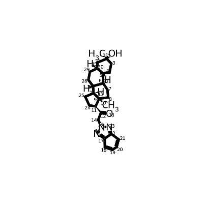 C[C@@]1(O)CC[C@@H]2C3CC[C@]4(C)[C@@H](C(=O)Cn5nc6ccccc6n5)CC[C@H]4[C@@H]3CC[C@@H]2C1